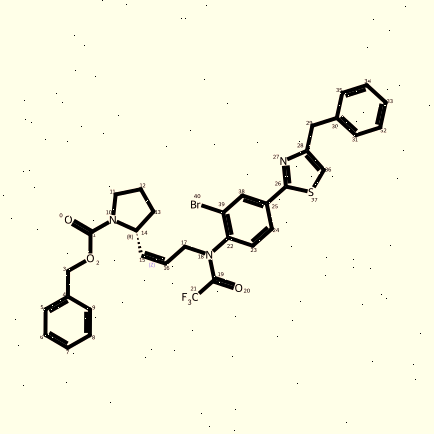 O=C(OCc1ccccc1)N1CCC[C@@H]1/C=C\CN(C(=O)C(F)(F)F)c1ccc(-c2nc(Cc3ccccc3)cs2)cc1Br